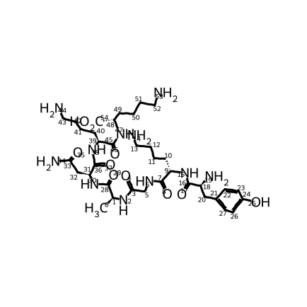 C[C@H](NC(=O)CNC(=O)[C@H](CCCCN)NC(=O)[C@@H](N)Cc1ccc(O)cc1)C(=O)N[C@@H](CC(N)=O)C(=O)N[C@@H](CCCCN)C(=O)N[C@@H](CCCCN)C(=O)O